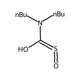 CCCCN(CCCC)C(O)=S=O